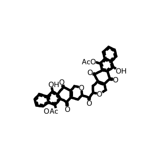 CC(=O)Oc1c2c(c(O)c3ccccc13)C(=O)C1=C(CC(C(=O)C3CC4=C(CO3)C(=O)c3c(c(OC(C)=O)c5ccccc5c3O)C4=O)OC1)C2=O